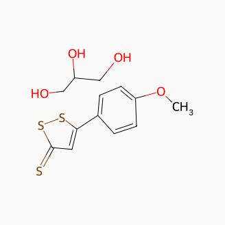 COc1ccc(-c2cc(=S)ss2)cc1.OCC(O)CO